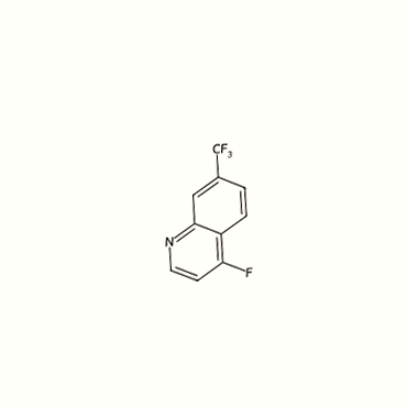 Fc1ccnc2cc(C(F)(F)F)ccc12